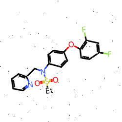 CCS(=O)(=O)N(Cc1ccccn1)c1ccc(Oc2ccc(F)cc2F)cc1